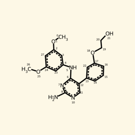 COc1cc(Nc2nc(N)ncc2-c2cccc(OCCO)c2)cc(OC)c1